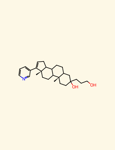 C[C@]12CCC(O)(CCCO)CC1CCC1C2CC[C@]2(C)C(c3cccnc3)=CCC12